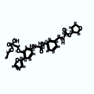 CCOP(=O)(O)COc1cc(NC(=O)Nc2cccc(CNC(=O)O[C@H]3CCOC3)c2)ccc1-c1cnco1